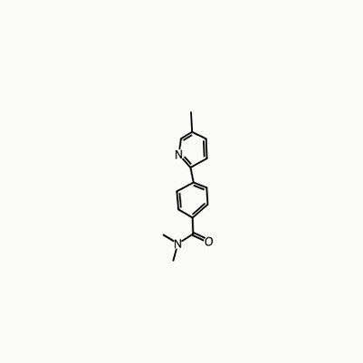 Cc1ccc(-c2ccc(C(=O)N(C)C)cc2)nc1